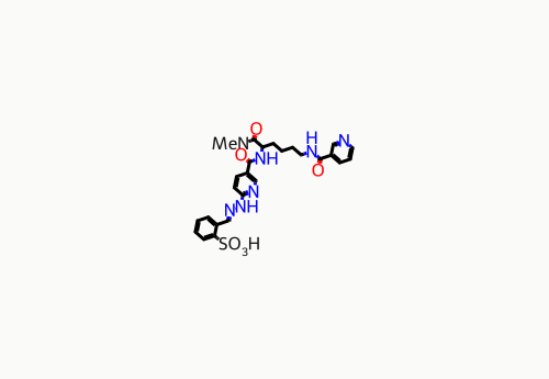 CNC(=O)C(CCCCNC(=O)c1cccnc1)NC(=O)c1ccc(NN=Cc2ccccc2S(=O)(=O)O)nc1